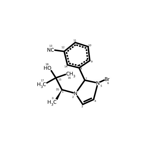 C[C@H](N1C=CN(Br)C1c1cccc(C#N)c1)C(C)(C)O